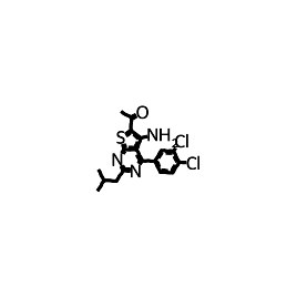 CC(=O)c1sc2nc(CC(C)C)nc(-c3ccc(Cl)c(Cl)c3)c2c1N